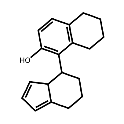 Oc1ccc2c(c1C1CCCC3=CC=CC31)CCCC2